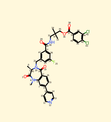 C[C@@H]1C(=O)N(C)c2cc(-c3ccncc3)ccc2C(=O)N1Cc1cc(F)cc(C(=O)NCC(C)(C)COC(=O)c2ccc(Cl)c(Cl)c2)c1